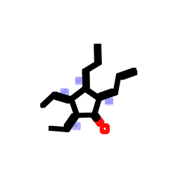 C=C/C=C1/C(=C/C)/C(=C\C)C(=O)/C1=C/C=C